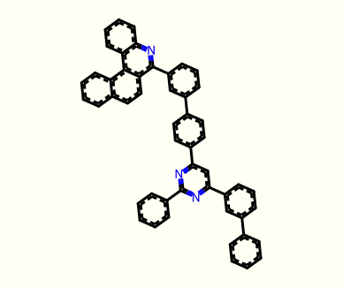 c1ccc(-c2cccc(-c3cc(-c4ccc(-c5cccc(-c6nc7ccccc7c7c6ccc6ccccc67)c5)cc4)nc(-c4ccccc4)n3)c2)cc1